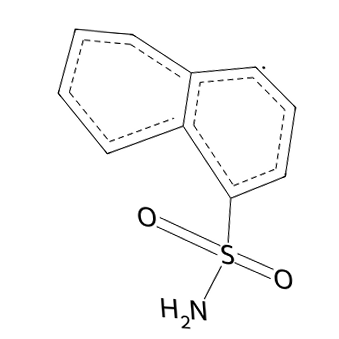 NS(=O)(=O)c1cc[c]c2ccccc12